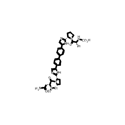 CCN(CC)[C@H](CC(N)=O)C(=O)N1CCC[C@H]1c1ncc(-c2ccc(-c3ccc(-c4cnc([C@@H]5CCCN5C(=O)[C@@H](NC(=O)O)C(C)C)[nH]4)cc3)cc2)[nH]1